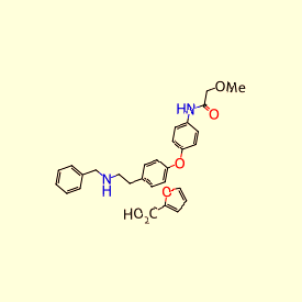 COCC(=O)Nc1ccc(Oc2ccc(CCNCc3ccccc3)cc2)cc1.O=C(O)c1ccco1